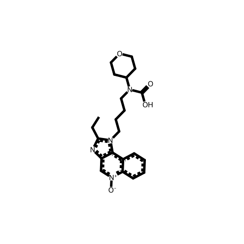 CCc1nc2c[n+]([O-])c3ccccc3c2n1CCCCN(C(=O)O)C1CCOCC1